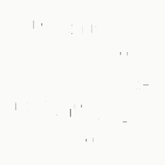 COc1c(/C(C)=C(/F)C(=O)O)cc2c(c1Br)C(C)(C)CC=C2C(C)C